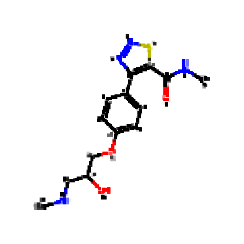 CC(C)NC(=O)c1snnc1-c1ccc(OCC(O)CNC(C)(C)C)cc1